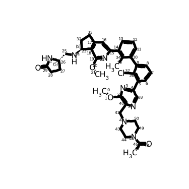 COc1nc(-c2cccc(-c3cccc(-c4cc5c(c(OC)n4)[C@@H](NC[C@@H]4CCC(=O)N4)CC5)c3C)c2Cl)cnc1CN1CCN(C(C)=O)CC1